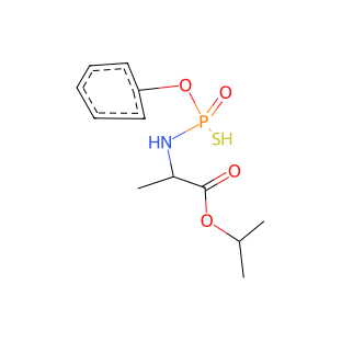 CC(C)OC(=O)C(C)NP(=O)(S)Oc1ccccc1